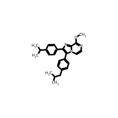 COc1nccn2c(-c3ccc(CC(C)C)cc3)c(-c3ccc(C(C)C)cc3)nc12